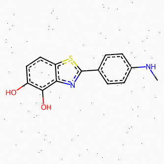 CNc1ccc(-c2nc3c(O)c(O)ccc3s2)cc1